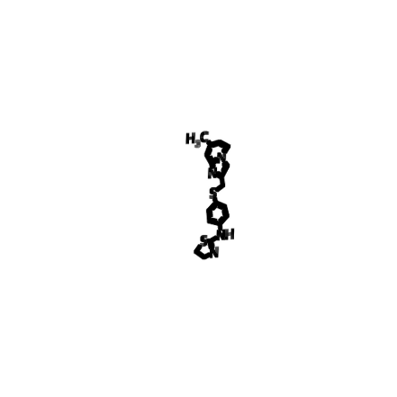 Cc1ccn2cc(CSc3ccc(NC4=NCCS4)cc3)nc2c1